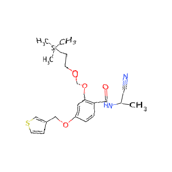 CC(C#N)NC(=O)c1ccc(OCc2ccsc2)cc1OCOCC[Si](C)(C)C